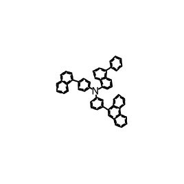 c1ccc(-c2cccc3c(N(c4ccc(-c5cccc6ccccc56)cc4)c4cccc(-c5cc6ccccc6c6ccccc56)c4)cccc23)cc1